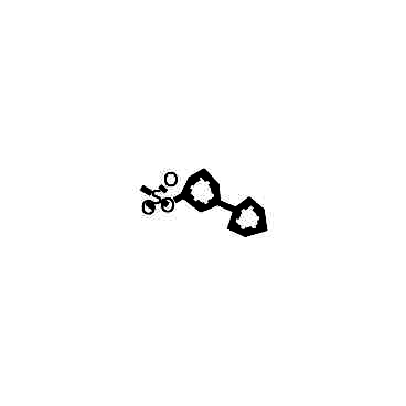 CS(=O)(=O)Oc1cccc(-c2ccccc2)c1